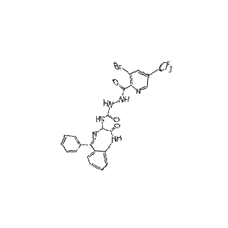 O=C(NNC(=O)c1ncc(C(F)(F)F)cc1Br)NC1N=C(c2ccccc2)c2ccccc2NC1=O